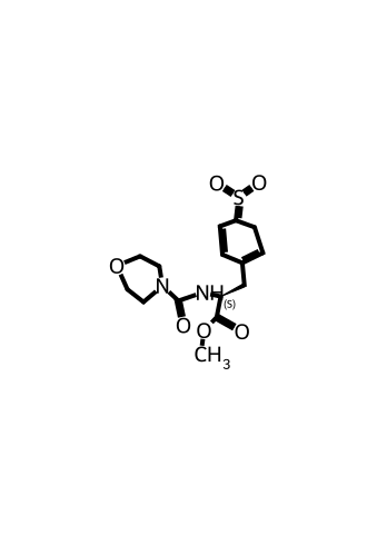 COC(=O)[C@H](CC1=CCC(=S(=O)=O)C=C1)NC(=O)N1CCOCC1